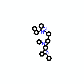 c1ccc(-c2nc3cc4c5ccc(-c6cccc(-c7nc(-c8cccc9ccccc89)c8ccccc8n7)c6)cc5n(-c5ccccc5)c4cc3c3ccccc23)cc1